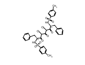 Cc1ccc(S(=O)(=O)N[C@@H](Cc2ccccc2)C(=O)C(Cl)C(=O)C(Cl)C(=O)[C@H](Cc2ccccc2)NS(=O)(=O)c2ccc(C)cc2)cc1